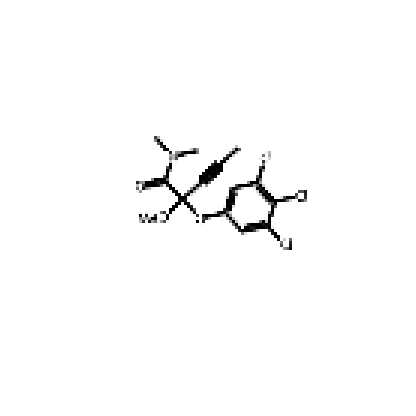 CC#CC(OC)(Oc1cc(Cl)c(Cl)c(Cl)c1)C(=O)N(C)C